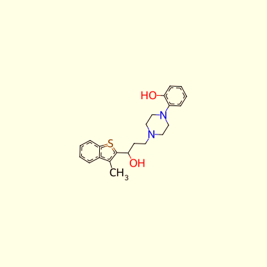 Cc1c(C(O)CCN2CCN(c3ccccc3O)CC2)sc2ccccc12